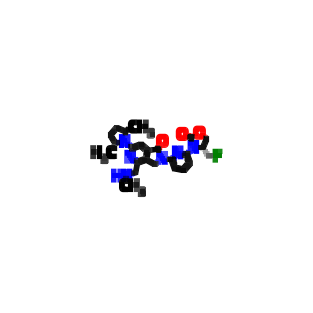 CNCc1nc(N2[C@H](C)CC[C@H]2C)cc2c1CN(c1cccc(N3C(=O)OC[C@@H]3CF)n1)C2=O